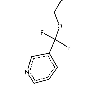 FC(F)(OCI)c1cccnc1